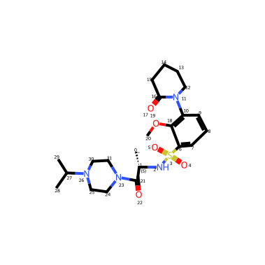 [CH2][C@H](NS(=O)(=O)c1cccc(N2CCCCC2=O)c1OC)C(=O)N1CCN(C(C)C)CC1